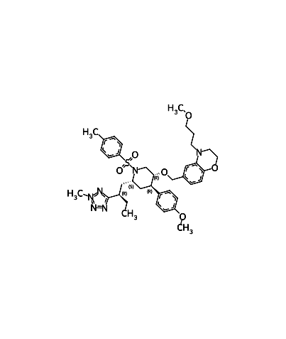 CC[C@H](C[C@H]1C[C@H](c2ccc(OC)cc2)[C@@H](OCc2ccc3c(c2)N(CCCOC)CCO3)CN1S(=O)(=O)c1ccc(C)cc1)c1nnn(C)n1